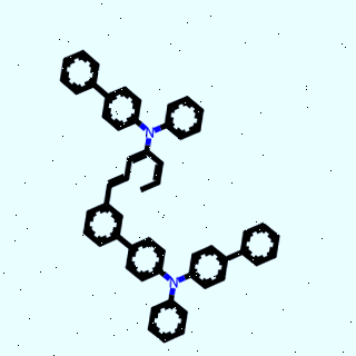 C\C=C/C(=C\C=C\c1cccc(-c2ccc(N(c3ccccc3)c3ccc(-c4ccccc4)cc3)cc2)c1)N(c1ccccc1)c1ccc(-c2ccccc2)cc1